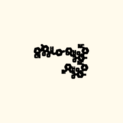 Cc1ccc(C(=O)NCC2CCC=CO2)c(=O)n1-c1cccc(C#N)c1.Cc1ccc(C(=O)NCc2ccccc2Br)c(=O)n1-c1cccc(C#N)c1.Cc1ccc(CNC(=O)c2ccc(C)n(-c3cccc(C#N)c3)c2=O)cc1